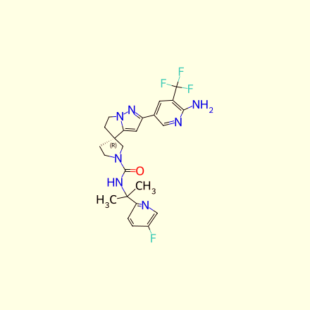 CC(C)(NC(=O)N1CC[C@@]2(CCn3nc(-c4cnc(N)c(C(F)(F)F)c4)cc32)C1)c1ccc(F)cn1